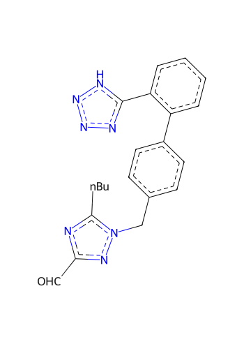 CCCCc1nc(C=O)nn1Cc1ccc(-c2ccccc2-c2nnn[nH]2)cc1